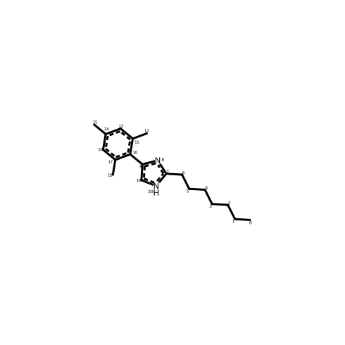 CCCCCCCc1nc(-c2c(C)cc(C)cc2C)c[nH]1